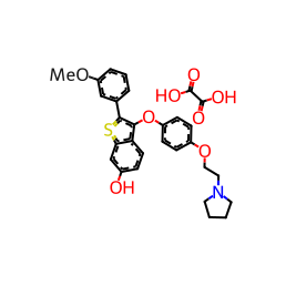 COc1cccc(-c2sc3cc(O)ccc3c2Oc2ccc(OCCN3CCCC3)cc2)c1.O=C(O)C(=O)O